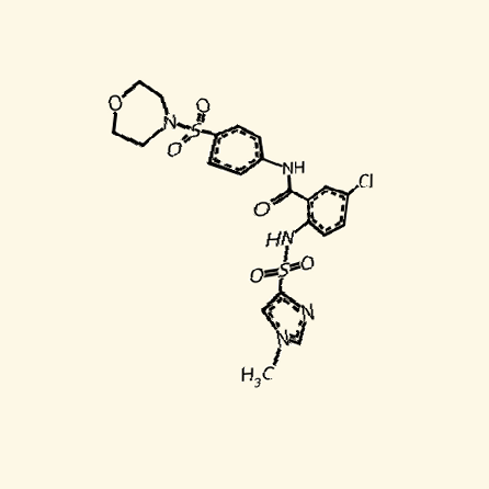 Cn1cnc(S(=O)(=O)Nc2ccc(Cl)cc2C(=O)Nc2ccc(S(=O)(=O)N3CCOCC3)cc2)c1